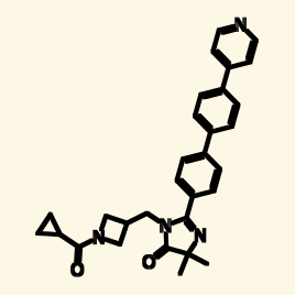 CC1(C)N=C(c2ccc(-c3ccc(-c4ccncc4)cc3)cc2)N(CC2CN(C(=O)C3CC3)C2)C1=O